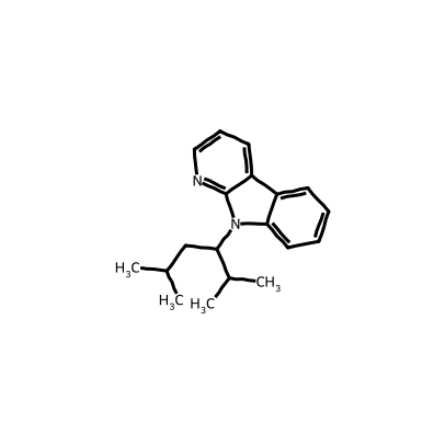 CC(C)CC(C(C)C)n1c2ccccc2c2cccnc21